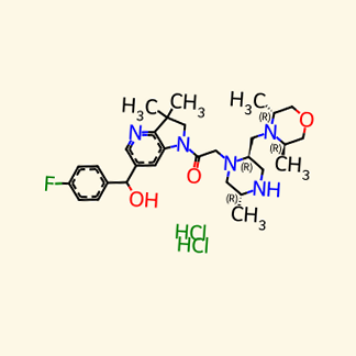 C[C@@H]1CN(CC(=O)N2CC(C)(C)c3ncc(C(O)c4ccc(F)cc4)cc32)[C@@H](CN2[C@H](C)COC[C@H]2C)CN1.Cl.Cl